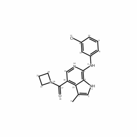 Cc1c[nH]c2c(Nc3cccc(Cl)c3)ncc(C(=O)N3CCC3)c12